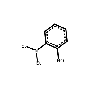 CCN(CC)c1ccccc1N=O